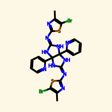 Cc1nc(N=C2NC3(c4ccccn4)NC(=Nc4nc(C)c(Br)s4)NC3(c3ccccn3)N2)sc1Br